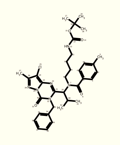 Cc1ccc(C(=O)N(CCCCNC(=O)OC(C)(C)C)C(c2nc3c(Cl)c(C)nn3c(=O)n2Cc2ccccc2)C(C)C)cc1